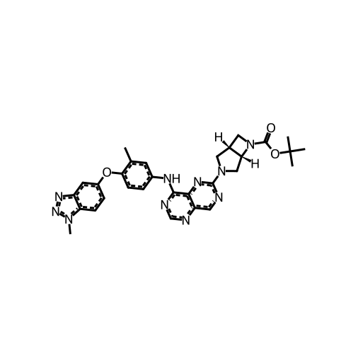 Cc1cc(Nc2ncnc3cnc(N4C[C@@H]5CN(C(=O)OC(C)(C)C)[C@@H]5C4)nc23)ccc1Oc1ccc2c(c1)nnn2C